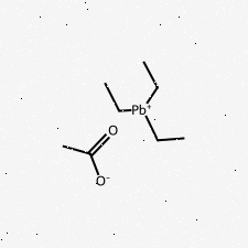 CC(=O)[O-].C[CH2][Pb+]([CH2]C)[CH2]C